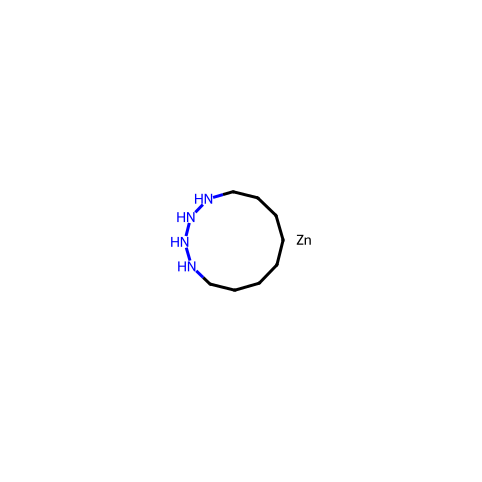 C1CCCCNNNNCCC1.[Zn]